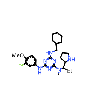 CCC(C1CCCN1)N(C)c1nc(NCC2CCCCC2)nc(Nc2ccc(OC)c(F)c2)n1